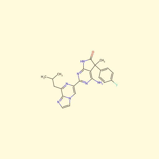 CC(C)Cc1nc(-c2nc(N)c3c(n2)NC(=O)C3(C)c2ccc(F)cc2)cn2ccnc12